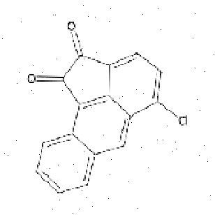 O=C1C(=O)c2c3ccccc3cc3c(Cl)ccc1c23